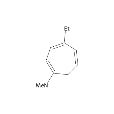 CCC1=CC=C(NC)CC=C1